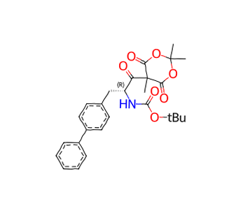 CC(C)(C)OC(=O)N[C@H](Cc1ccc(-c2ccccc2)cc1)C(=O)C1(C)C(=O)OC(C)(C)OC1=O